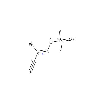 C#C/C(=C/OP(C)(C)=O)CC